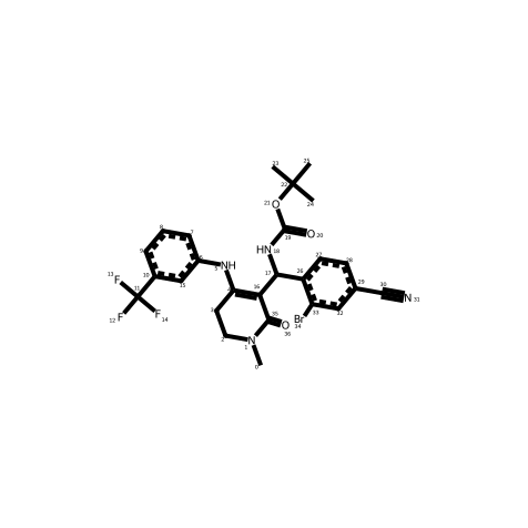 CN1CCC(Nc2cccc(C(F)(F)F)c2)=C(C(NC(=O)OC(C)(C)C)c2ccc(C#N)cc2Br)C1=O